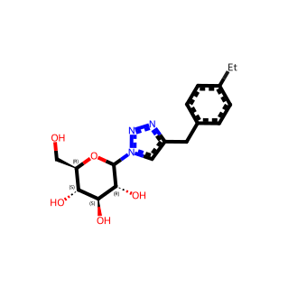 CCc1ccc(Cc2cn(C3O[C@H](CO)[C@@H](O)[C@H](O)[C@H]3O)nn2)cc1